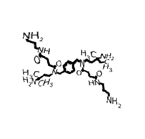 CCC(C)(N)CCN(Cc1ccc(CN(CCC(C)(C)N)C(=O)CCC(=O)NCCCN)cc1)C(=O)CCC(=O)NCCCN